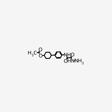 CC(=O)OC1CCC(c2ccc(NC(=O)C(=O)NN)cc2)CC1